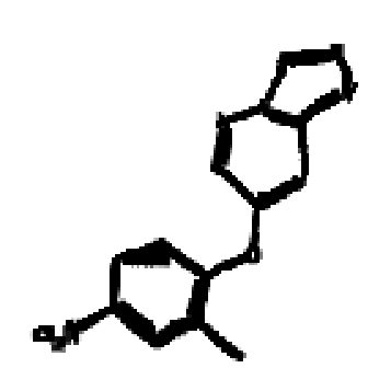 Cc1cc([N+](=O)[O-])ccc1Oc1cnn2cnnc2c1